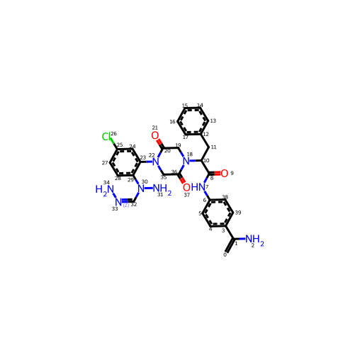 C=C(N)c1ccc(NC(=O)C(Cc2ccccc2)N2CC(=O)N(c3cc(Cl)ccc3N(N)/C=N\N)CC2=O)cc1